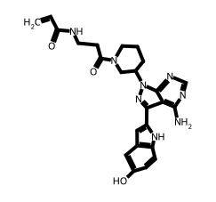 C=CC(=O)NCCC(=O)N1CCCC(n2nc(-c3cc4cc(O)ccc4[nH]3)c3c(N)ncnc32)C1